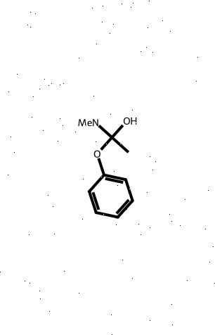 CNC(C)(O)Oc1ccccc1